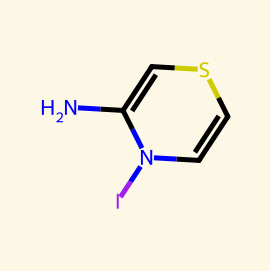 NC1=CSC=CN1I